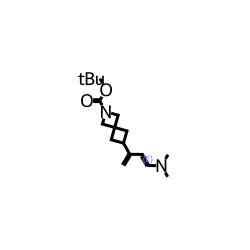 C=C(/C=C/N(C)C)C1CC2(C1)CN(C(=O)OC(C)(C)C)C2